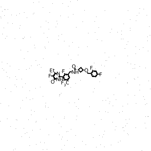 CCc1nc(-c2c(C(F)(F)F)ccc(CNC(=O)[C@H]3C[C@H](OCc4ccc(F)cc4F)C3)c2F)[nH]c(=O)c1F